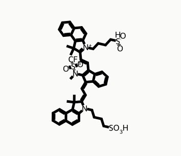 CN(C1=C(/C=C/C2=[N+](CCCC[SH](=O)=O)c3ccc4ccccc4c3C2(C)C)c2ccccc2/C1=C\C=C1\N(CCCCS(=O)(=O)O)c2ccc3ccccc3c2C1(C)C)S(=O)(=O)C(F)(F)F